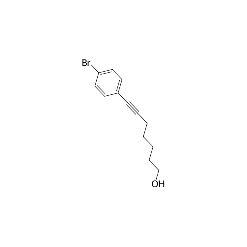 OCCCCCC#Cc1ccc(Br)cc1